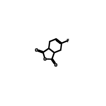 O=C1OC(=O)C2CC(F)=CCC12